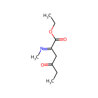 CCOC(=O)C(CC(=O)CC)=NC